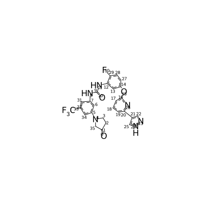 O=C1CCN(c2cc(NC(=O)Nc3cc(Oc4cccc(-c5cn[nH]c5)n4)ccc3F)cc(C(F)(F)F)c2)C1